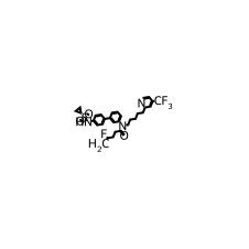 C=C(F)CCC(=O)N(CCCCCc1cc(C(F)(F)F)ccn1)c1cccc(-c2ccc(NS(=O)(=O)C3CC3)cc2)c1